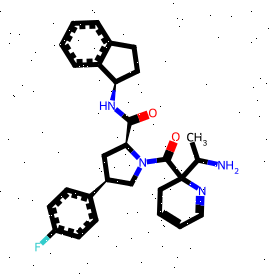 CC(N)C1(C(=O)N2C[C@@H](c3ccc(F)cc3)C[C@H]2C(=O)N[C@@H]2CCc3ccccc32)CC=CC=N1